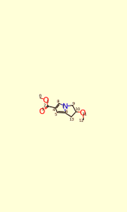 COC(=O)c1cc2n(c1)CC(OC)C2